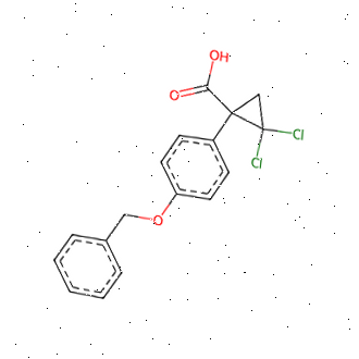 O=C(O)C1(c2ccc(OCc3ccccc3)cc2)CC1(Cl)Cl